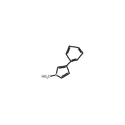 O=C(O)n1ccc(-c2ccccc2)c1